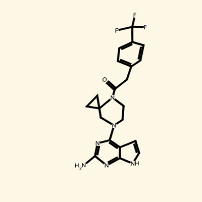 Nc1nc(N2CCN(C(=O)Cc3ccc(C(F)(F)F)cc3)C3(CC3)C2)c2cc[nH]c2n1